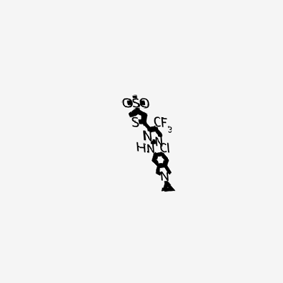 CS(=O)(=O)c1csc(-c2nc(Nc3cc4c(cc3Cl)CN(C3CC3)C4)ncc2C(F)(F)F)c1